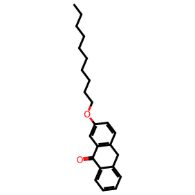 CCCCCCCCCCOc1ccc2c(c1)C(=O)c1ccccc1C2